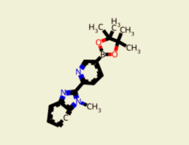 Cn1c(-c2ccc(B3OC(C)(C)C(C)(C)O3)cn2)nc2ccccc21